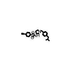 C#Cc1ccc(S(=O)(=O)NC2CCN(Cc3ccc(CC(C)C)cc3)C2)cc1